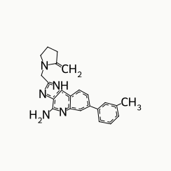 C=C1CCCN1Cc1nc2c(N)nc3cc(-c4cccc(C)c4)ccc3c2[nH]1